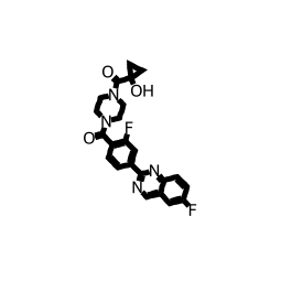 O=C(c1ccc(-c2ncc3cc(F)ccc3n2)cc1F)N1CCN(C(=O)C2(O)CC2)CC1